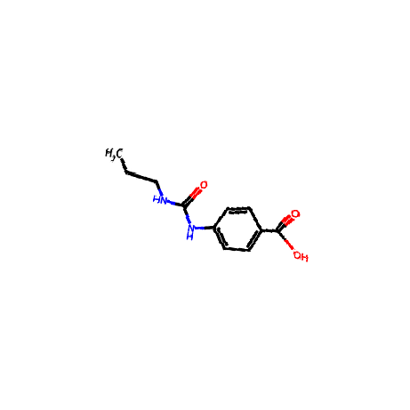 CCCNC(=O)Nc1ccc(C(=O)O)cc1